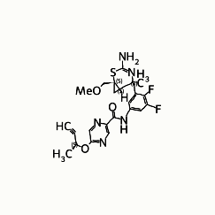 C#C[C@H](C)Oc1cnc(C(=O)Nc2cc(F)c(F)c([C@]3(C)N=C(N)S[C@@]4(COC)C[C@H]43)c2)cn1